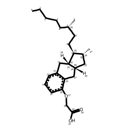 CCCCC[C@H](C)CC[C@@H]1[C@H]2Cc3cccc(OCC(=O)O)c3C[C@H]2C[C@H]1C